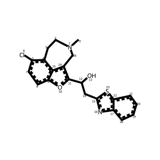 CN1CCc2c(Cl)ccc3oc(C(O)Cc4nc5ccccc5s4)c(c23)C1